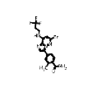 Cc1cc(-c2cnc3c(NCCC(F)(F)F)cc(Br)nn23)ccc1C(N)=O